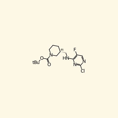 CC(C)(C)OC(=O)N1CCC[C@H](CNc2nc(Cl)ncc2F)C1